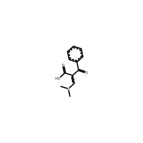 CN(C)/C=C(\C(=O)O)C(=O)c1ccccc1